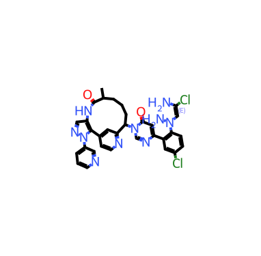 CC1CCCC(n2cnc(-c3cc(Cl)ccc3N(N)/C=C(\N)Cl)cc2=O)c2cc(ccn2)-c2c(cnn2-c2cccnc2)NC1=O